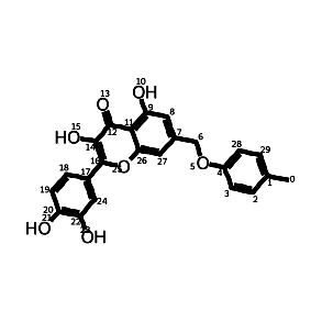 Cc1ccc(OCc2cc(O)c3c(=O)c(O)c(-c4ccc(O)c(O)c4)oc3c2)cc1